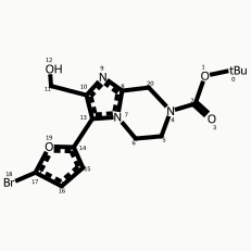 CC(C)(C)OC(=O)N1CCn2c(nc(CO)c2-c2ccc(Br)o2)C1